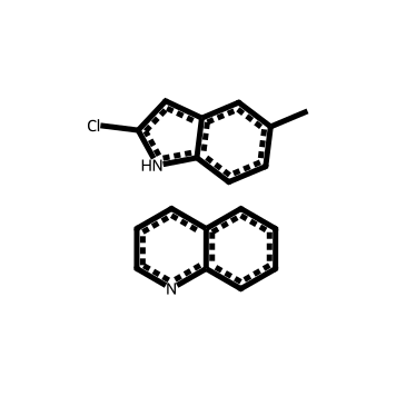 Cc1ccc2[nH]c(Cl)cc2c1.c1ccc2ncccc2c1